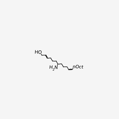 CCCCCCCC/C=C\CCCC(N)CCCC=CCO